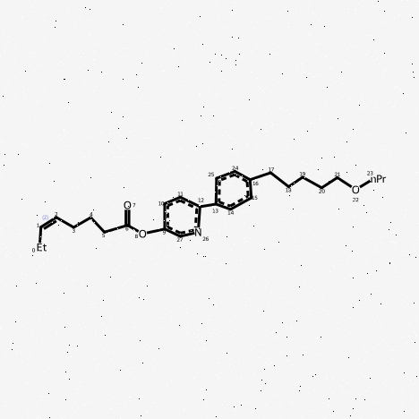 CC/C=C\CCCC(=O)Oc1ccc(-c2ccc(CCCCCOCCC)cc2)nc1